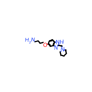 NCCCCOc1ccc2[nH]c(CN3CCCCC3)nc2c1